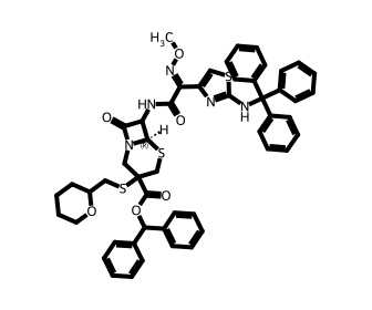 CON=C(C(=O)NC1C(=O)N2CC(SCC3CCCCO3)(C(=O)OC(c3ccccc3)c3ccccc3)CS[C@H]12)c1csc(NC(c2ccccc2)(c2ccccc2)c2ccccc2)n1